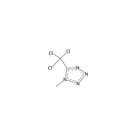 Cn1nnnc1C(Cl)(Cl)Cl